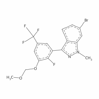 COCOc1cc(C(F)(F)F)cc(-c2nn(C)c3cc(Br)ccc23)c1F